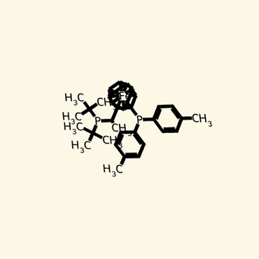 Cc1ccc(P(c2ccc(C)cc2)[C]23[CH]4[CH]5[CH]6[C]2(C(C)P(C(C)(C)C)C(C)(C)C)[Fe]56432789[CH]3[CH]2[CH]7[CH]8[CH]39)cc1